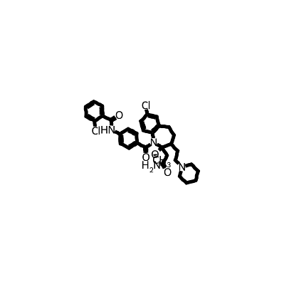 COC1(CC(N)=O)C(CCN2CCCCC2)CCc2cc(Cl)ccc2N1C(=O)c1ccc(NC(=O)c2ccccc2Cl)cc1